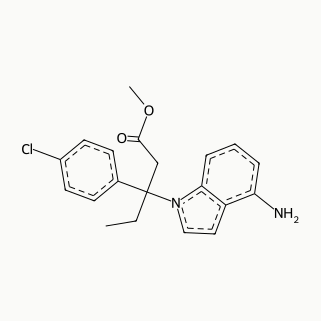 CCC(CC(=O)OC)(c1ccc(Cl)cc1)n1ccc2c(N)cccc21